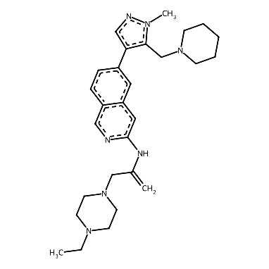 C=C(CN1CCN(CC)CC1)Nc1cc2cc(-c3cnn(C)c3CN3CCCCC3)ccc2cn1